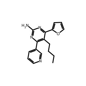 CCCCc1c(-c2cccnc2)nc(N)nc1-c1ccco1